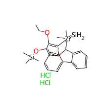 CCOC1=[C]([Zr]([CH3])([CH3])(=[SiH2])[CH]2c3ccccc3-c3ccccc32)CC=C1O[Si](C)(C)C.Cl.Cl